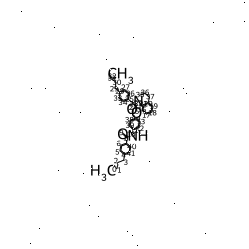 CCCCc1ccc(C(=O)Nc2ccc(Oc3cccc4c3N(C(=O)c3ccc(CCCC)cc3)CCC4)cc2)cc1